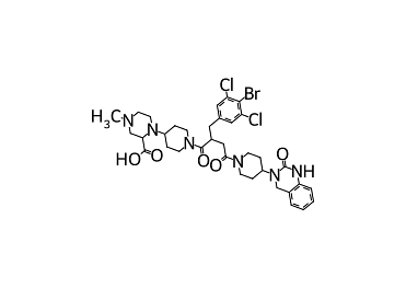 CN1CCN(C2CCN(C(=O)C(CC(=O)N3CCC(N4Cc5ccccc5NC4=O)CC3)Cc3cc(Cl)c(Br)c(Cl)c3)CC2)C(C(=O)O)C1